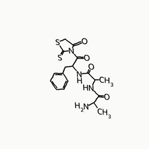 CC(N)C(=O)NC(C)C(=O)NC(Cc1ccccc1)C(=O)N1C(=O)CSC1=S